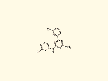 Nc1nc(Nc2ccnc(Cl)c2)nc(-c2cccc(Cl)n2)n1